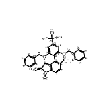 CCN1C(=O)Cc2c1ccc(C)c2-c1c(OCc2ccccc2)cc(C(F)(F)CC)cc1OCc1ccccc1